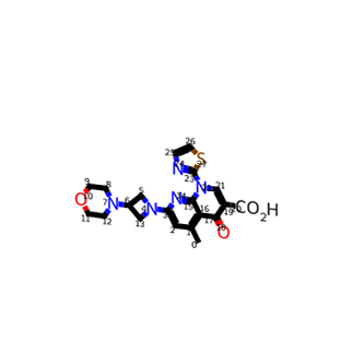 Cc1cc(N2CC(N3CCOCC3)C2)nc2c1c(=O)c(C(=O)O)cn2-c1nccs1